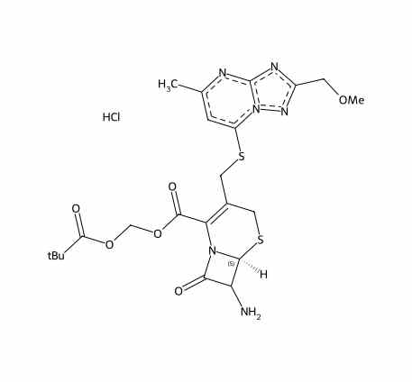 COCc1nc2nc(C)cc(SCC3=C(C(=O)OCOC(=O)C(C)(C)C)N4C(=O)C(N)[C@@H]4SC3)n2n1.Cl